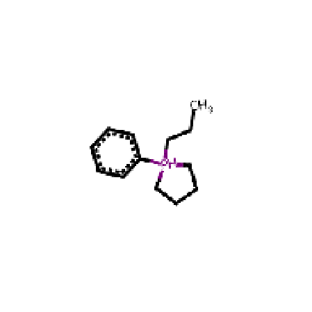 CCC[PH]1(c2ccccc2)CCCC1